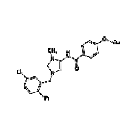 CCCCOc1ccc(C(=O)NC2=CN(Cc3cc(Cl)ccc3C(C)C)CN2C)cc1